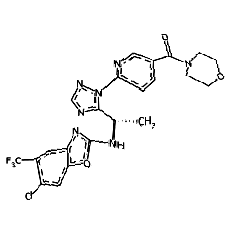 C[C@H](Nc1nc2cc(C(F)(F)F)c(Cl)cc2o1)c1ncnn1-c1ccc(C(=O)N2CCOCC2)cn1